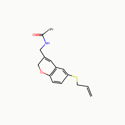 C=CCSc1ccc2c(c1)C=C(CNC(=O)CCC)CO2